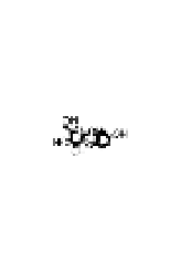 OC[C@H]1O[C@@H](O)[C@H](Oc2ccc(O)cc2)[C@@H](O)[C@H]1O